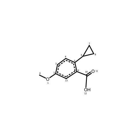 COc1ccc(C2CC2)c(C(=O)O)c1